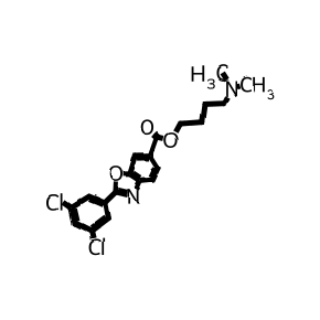 CN(C)CCCCOC(=O)c1ccc2nc(-c3cc(Cl)cc(Cl)c3)oc2c1